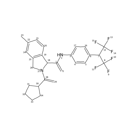 C=C(Nc1ccc(C(C(F)(F)F)C(F)(F)F)cc1)C1c2ccc(C)cc2CN1C(=C)C1CCCC1